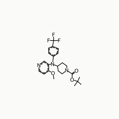 COc1ccncc1N(c1ccc(C(F)(F)F)cc1)C1CCN(C(=O)OC(C)(C)C)CC1